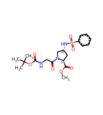 COC(=O)[C@@H]1C[C@@H](NS(=O)(=O)c2ccccc2)CN1C(=O)CNC(=O)OC(C)(C)C